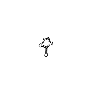 O=c1ncso1